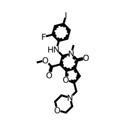 COC(=O)c1c(Nc2ccc(I)cc2F)n(C)c(=O)c2cc(CN3CCOCC3)oc12